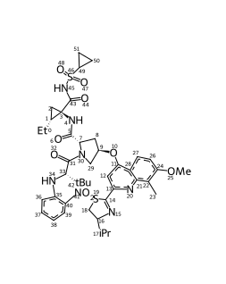 CC[C@@H]1C[C@]1(NC(=O)[C@@H]1C[C@@H](Oc2cc(C3=NC(C(C)C)CS3)nc3c(C)c(OC)ccc23)CN1C(=O)[C@@H](Nc1ccccc1[N+](=O)[O-])C(C)(C)C)C(=O)NS(=O)(=O)C1CC1